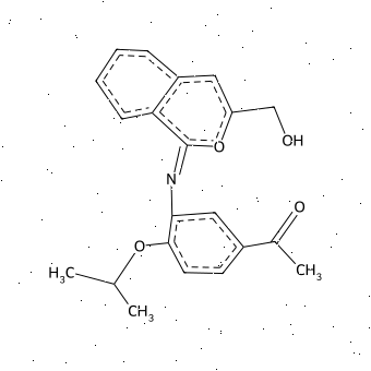 CC(=O)c1ccc(OC(C)C)c(/N=c2\oc(CO)cc3ccccc23)c1